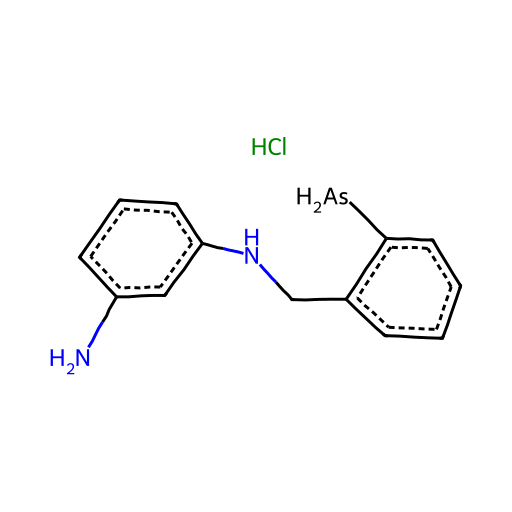 Cl.Nc1cccc(NCc2ccccc2[AsH2])c1